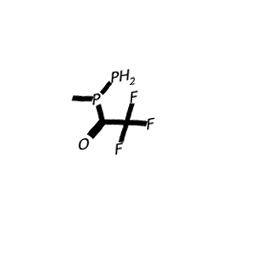 CP(P)C(=O)C(F)(F)F